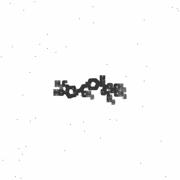 CC1CN(C(C)CN2CCC(NC(=O)OC(C)(C)C)CC2)CCC1O